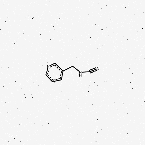 N#CNCc1cccnc1